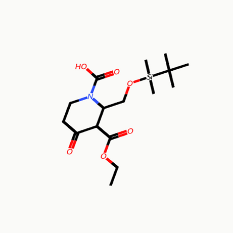 CCOC(=O)C1C(=O)CCN(C(=O)O)C1CO[Si](C)(C)C(C)(C)C